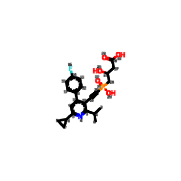 CC(C)c1nc(C2CC2)cc(-c2ccc(F)cc2)c1C#CP(=O)(O)CC(O)CC(=O)O